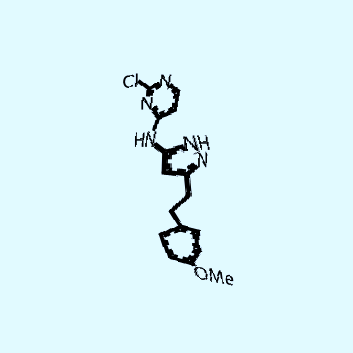 COc1ccc(CCc2cc(Nc3ccnc(Cl)n3)[nH]n2)cc1